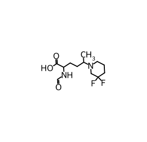 CC(CCC(NC=O)C(=O)O)N1CCCC(F)(F)C1